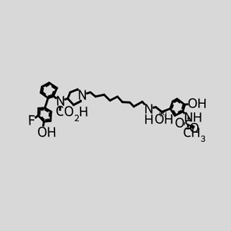 CS(=O)(=O)Nc1cc([C@@H](O)CNCCCCCCCCCN2CCC(N(C(=O)O)c3ccccc3-c3ccc(O)c(F)c3)CC2)ccc1O